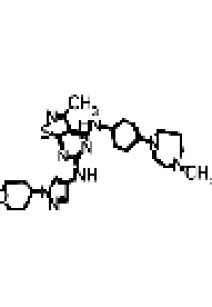 Cc1nsc2nc(Nc3cnn(C4CCOCC4)c3)nc(NC3CCC(N4CCCN(C)CC4)CC3)c12